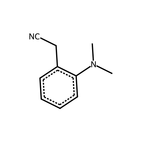 CN(C)c1ccccc1CC#N